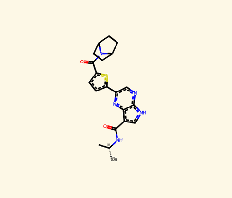 C[C@H](NC(=O)c1c[nH]c2ncc(-c3ccc(C(=O)N4C5CCC4CC5)s3)nc12)C(C)(C)C